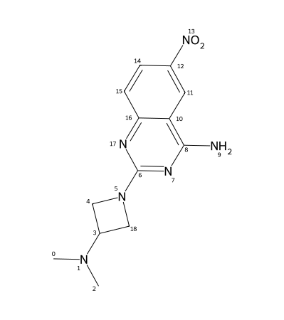 CN(C)C1CN(c2nc(N)c3cc([N+](=O)[O-])ccc3n2)C1